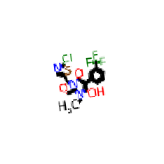 CCn1c(O)c(-c2cccc(C(F)(F)F)c2)c(=O)[n+]2c1COC2c1cnc(Cl)s1